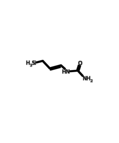 NC(=O)NC=CC[SiH3]